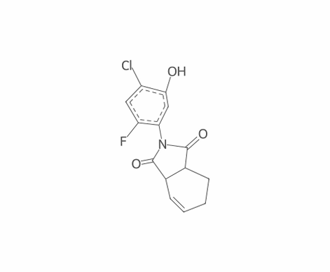 O=C1C2C=CCCC2C(=O)N1c1cc(O)c(Cl)cc1F